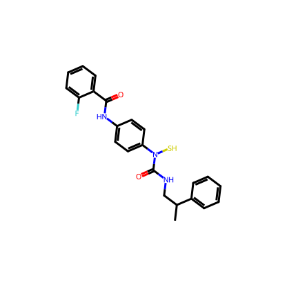 CC(CNC(=O)N(S)c1ccc(NC(=O)c2ccccc2F)cc1)c1ccccc1